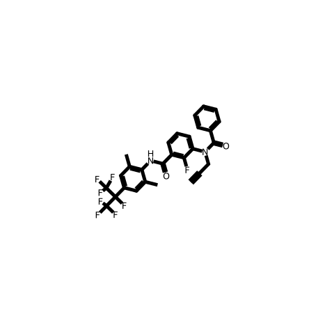 C#CCN(C(=O)c1ccccc1)c1cccc(C(=O)Nc2c(C)cc(C(F)(C(F)(F)F)C(F)(F)F)cc2C)c1F